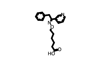 O=C(O)CCCCCON=C(Cc1ccccc1)c1cccnc1